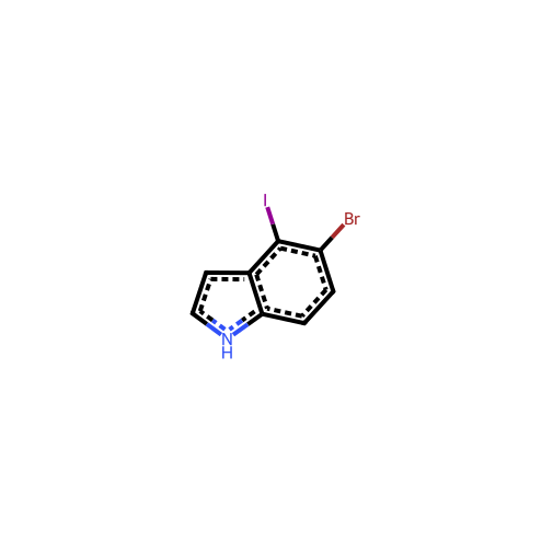 Brc1ccc2[nH]ccc2c1I